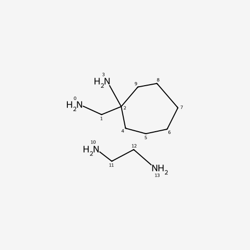 NCC1(N)CCCCCC1.NCCN